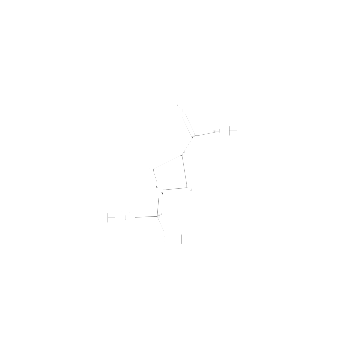 CC(=S)C1CN(C(C)C)C1